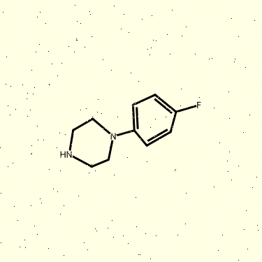 Fc1ccc(N2[CH]CNCC2)cc1